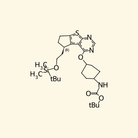 CC(C)(C)OC(=O)NC1CCC(Oc2ncnc3sc4c(c23)[C@@H](CCO[Si](C)(C)C(C)(C)C)CC4)CC1